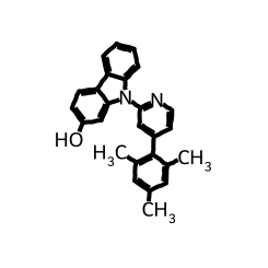 Cc1cc(C)c(-c2ccnc(-n3c4ccccc4c4ccc(O)cc43)c2)c(C)c1